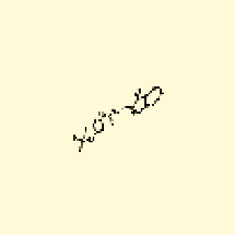 O=C(Nc1ccc(OC(F)(F)F)cc1)OCCn1ncc2ccccc2c1=O